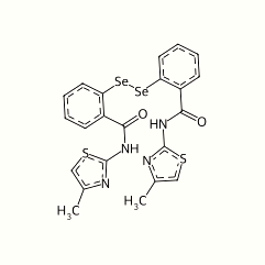 Cc1csc(NC(=O)c2ccccc2[Se][Se]c2ccccc2C(=O)Nc2nc(C)cs2)n1